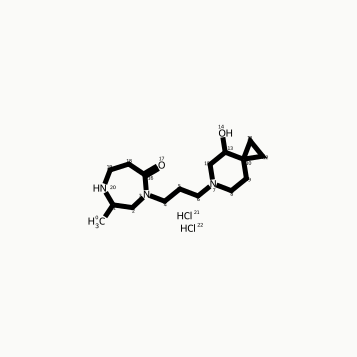 CC1CN(CCCN2CCC3(CC3)C(O)C2)C(=O)CCN1.Cl.Cl